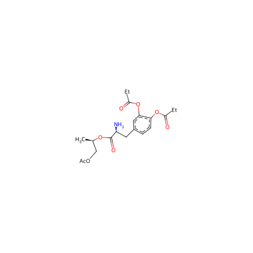 CCC(=O)Oc1ccc(C[C@H](N)C(=O)O[C@H](C)COC(C)=O)cc1OC(=O)CC